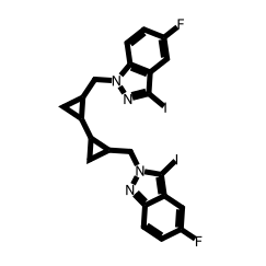 Fc1ccc2nn(CC3CC3C3CC3Cn3nc(I)c4cc(F)ccc43)c(I)c2c1